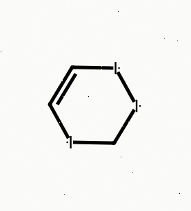 C1=C[I][I]C[I]1